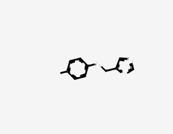 O=C(O)c1ccc(NCc2cncs2)cc1